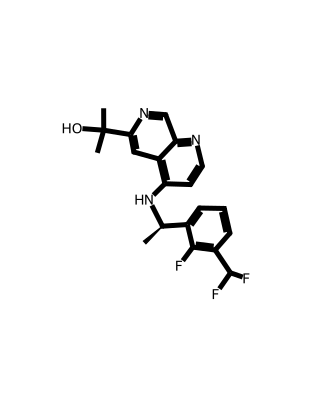 C[C@@H](Nc1ccnc2cnc(C(C)(C)O)cc12)c1cccc(C(F)F)c1F